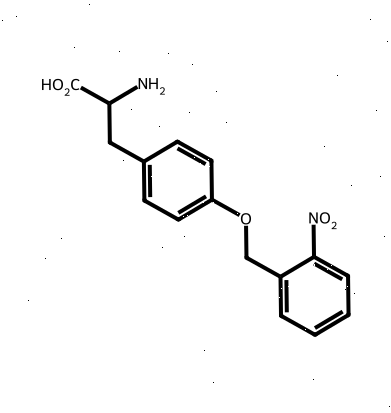 NC(Cc1ccc(OCc2ccccc2[N+](=O)[O-])cc1)C(=O)O